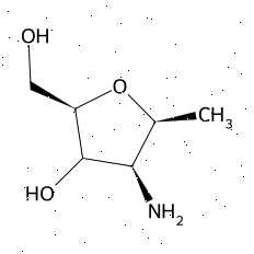 C[C@@H]1O[C@H](CO)C(O)[C@@H]1N